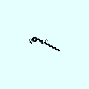 CCCCCCCCCC(=O)NCCCc1ccc2c(c1)OCO2